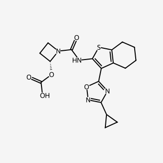 O=C(O)O[C@@H]1CCN1C(=O)Nc1sc2c(c1-c1nc(C3CC3)no1)CCCC2